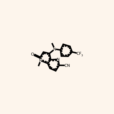 CN(c1ccc(C(F)(F)F)cc1)c1cc(=O)n(C)c2ccc(C#N)nc12